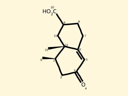 C[C@@H]1CC(=O)C=C2CCC(C(=O)O)C[C@]21C